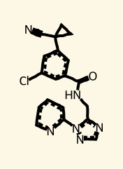 N#CC1(c2cc(Cl)cc(C(=O)NCc3ncnn3-c3ccccn3)c2)CC1